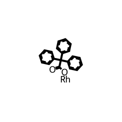 O=C([O][Rh])C(c1ccccc1)(c1ccccc1)c1ccccc1